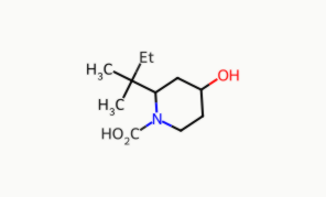 CCC(C)(C)C1CC(O)CCN1C(=O)O